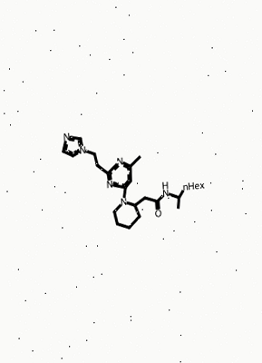 CCCCCCC(C)NC(=O)CC1CCCCN1c1cc(C)nc(CCn2ccnc2)n1